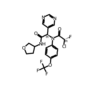 O=C(NC1CCOC1)[C@@H](c1cncnc1)N(C(=O)[C@H](F)Cl)c1ccc(OC(F)(F)F)cc1